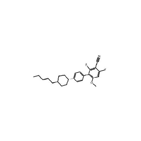 CCCCC[C@H]1CC[C@H](c2ccc(-c3c(OC)cc(F)c(C#N)c3F)cc2)CC1